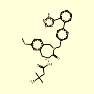 CSc1ccc2c(c1)C[C@@H](NC(=O)CC(C)(C)N)C(=O)N(Cc1ccc(-c3ccccc3-c3nnn[nH]3)cc1)C2